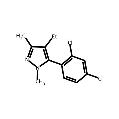 CCc1c(C)nn(C)c1-c1ccc(Cl)cc1Cl